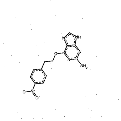 Nc1nc(OCCc2ccc([N+](=O)[O-])cc2)c2nc[nH]c2n1